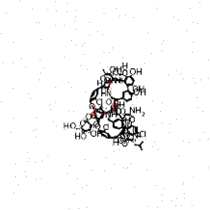 CN[C@H](CC(C)C)C(=O)N[C@H]1C(=O)N[C@@H](CC(N)=O)C(=O)N[C@H]2C(=O)N[C@H]3C(=O)N[C@H](C(=O)N[C@H](C(=O)O)c4cc(O)cc(O)c4-c4cc3ccc4O)[C@H](C3C[C@](C)(N)[C@@H](O)[C@H](C)O3)c3ccc(c(Cl)c3)Oc3cc2cc(c3O[C@@H]2O[C@H](CO)[C@@H](O)[C@H](O)[C@H]2O[C@H]2C[C@](C)(NCc3ccc(-c4ccc(Cl)cc4)cc3)[C@@H](I)[C@H](C)O2)Oc2ccc(cc2Cl)[C@H]1O